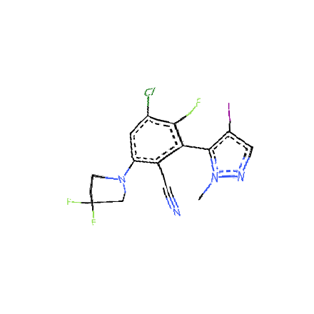 Cn1ncc(I)c1-c1c(F)c(Cl)cc(N2CC(F)(F)C2)c1C#N